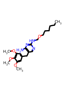 CCCCCCOCNc1ncc(Cc2cc(OC)c(OC)c(OC)c2)c(N)n1